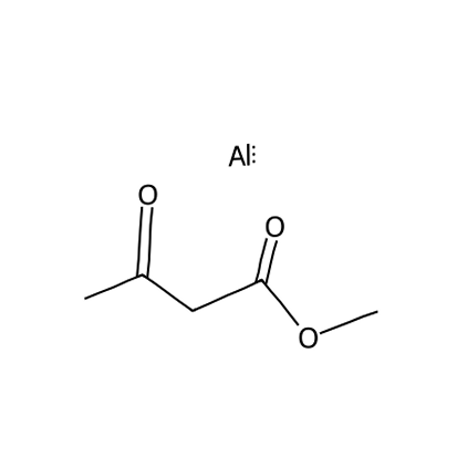 COC(=O)CC(C)=O.[Al]